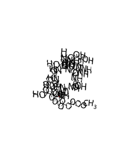 COc1ccc(Oc2cccc(C3OCC4OC(OC5C(CO)OC(Oc6ccc(CC7NC(=O)C(C(C)c8ccccc8)NC(=O)CNC(=O)C(CO)NC(=O)C(C(O)C8CNC(=N)N8C8OC(CO)C(O)C(O)C8O)NC(=O)C(C(O)C8CNC(=N)N8)NC7=O)cc6)C(O)C5O)C(O)C(O)C4O3)c2)cc1